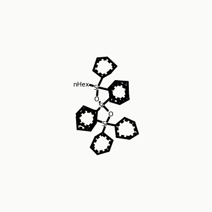 [CH2]CCCCC[Si](O[Si](O[Si](c1ccccc1)(c1ccccc1)c1ccccc1)(c1ccccc1)c1ccccc1)(c1ccccc1)c1ccccc1